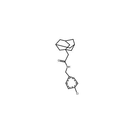 O=C(CC12CC3CC(CC(C3)C1)C2)NCc1ccc(Cl)cc1